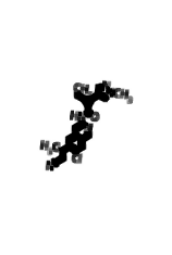 CCC1C(C(=O)Nc2cc3cc([C@@H](C)CC#N)c(Cl)cc3cn2)C1c1cnn(C)c1